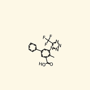 Cc1c(C(=O)O)cc(-c2ccccc2)cc1-n1nnnc1C(F)(F)F